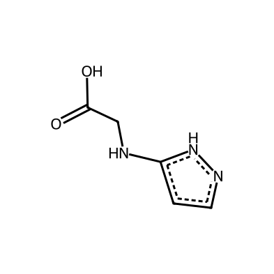 O=C(O)CNc1ccn[nH]1